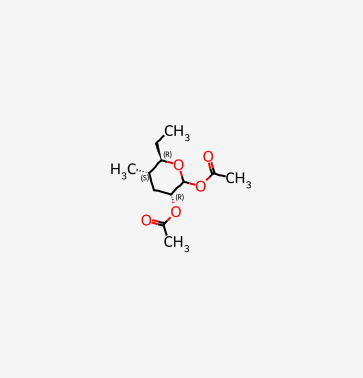 CC[C@H]1OC(OC(C)=O)[C@H](OC(C)=O)C[C@@H]1C